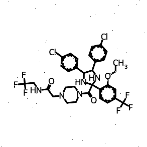 CCOc1cc(C(F)(F)F)ccc1C1(C(=O)N2CCN(CC(=O)NCC(F)(F)F)CC2)NC(c2ccc(Cl)cc2)C(c2ccc(Cl)cc2)N1